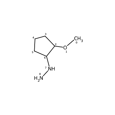 COC1CCCC1NN